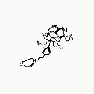 CC(C)CN(NC(=O)C(C)(C)c1ccc(CCCN2CCOCC2)cc1)c1nc(C#N)ncc1Br